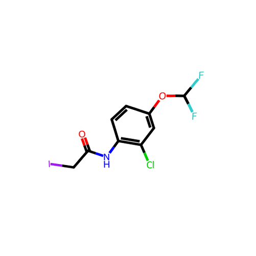 O=C(CI)Nc1ccc(OC(F)F)cc1Cl